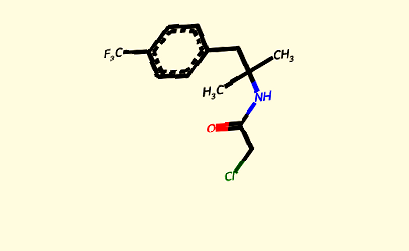 CC(C)(Cc1ccc(C(F)(F)F)cc1)NC(=O)CCl